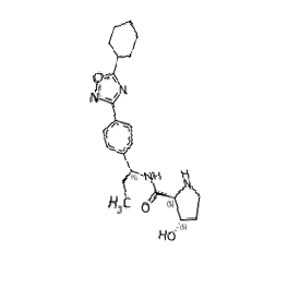 CC[C@H](NC(=O)[C@H]1NCC[C@@H]1O)c1ccc(-c2noc(C3CCCCC3)n2)cc1